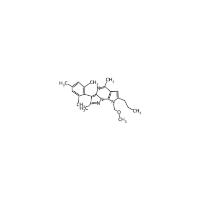 CCCc1cc2c(C)nc3c(-c4c(C)cc(C)cc4C)c(C)nn3c2n1COC